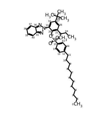 CCCCCCCCCCCCc1ccc(S(=O)(=O)Oc2c(C(C)CC)cc(C(C)(C)C)cc2-n2nc3ccccc3n2)cc1